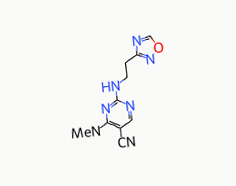 CNc1nc(NCCc2ncon2)ncc1C#N